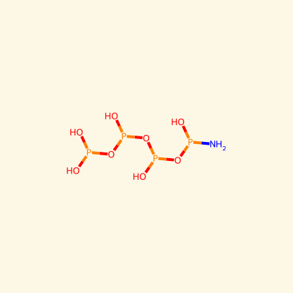 NP(O)OP(O)OP(O)OP(O)O